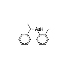 [CH2]c1ccccc1[AsH]C(C)c1ccccc1